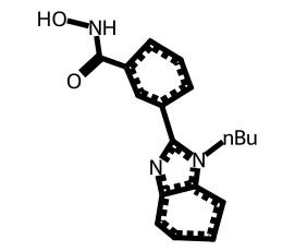 CCCCn1c(-c2cccc(C(=O)NO)c2)nc2ccccc21